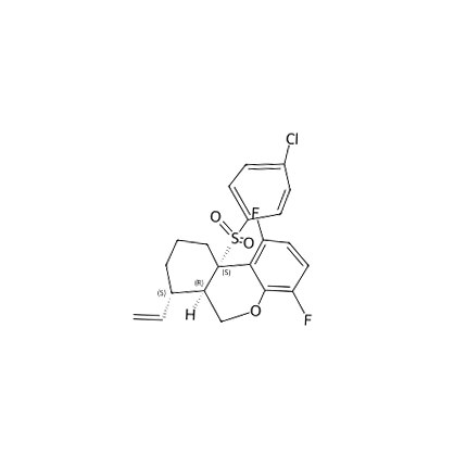 C=C[C@@H]1CCC[C@@]2(S(=O)(=O)c3ccc(Cl)cc3)c3c(F)ccc(F)c3OC[C@@H]12